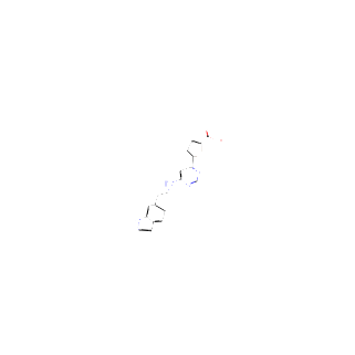 O=C(O)c1ccc(-c2cc(NCCc3ccc4cc[nH]c4c3)ncn2)s1